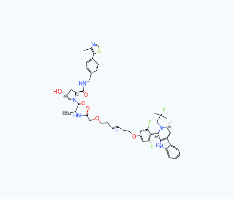 Cc1ncsc1-c1ccc(CNC(=O)[C@@H]2C[C@@H](O)CN2C(=O)C(NC(=O)COCC/C=C/CCOc2cc(F)c([C@@H]3c4[nH]c5ccccc5c4C[C@@H](C)N3CC(C)(C)F)c(F)c2)C(C)(C)C)cc1